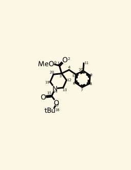 COC(=O)C1(Cc2ccccc2C)CCN(C(=O)OC(C)(C)C)CC1